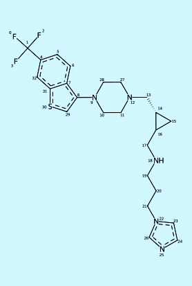 FC(F)(F)c1ccc2c(N3CCN(C[C@@H]4CC4CNCCCn4ccnc4)CC3)csc2c1